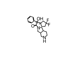 O=C(N1CC2CCNCC2C1)[C@](O)(c1ccccc1)[C@@H]1CCC(F)(F)C1